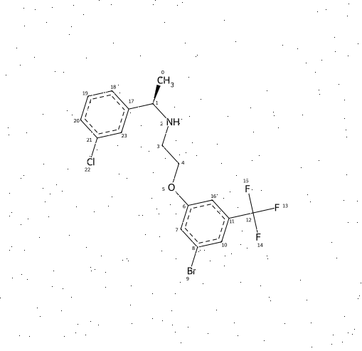 C[C@@H](NCCOc1cc(Br)cc(C(F)(F)F)c1)c1cccc(Cl)c1